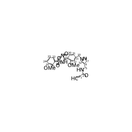 C#CC(=O)NCc1cnn(Cc2cc(OC)c3c(NS(=O)(=O)c4ccccc4OC)noc3c2)c1